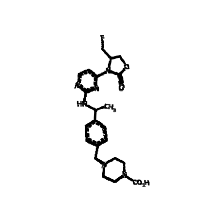 C[C@H](Nc1nccc(N2C(=O)OCC2CF)n1)c1ccc(CN2CCN(C(=O)O)CC2)cc1